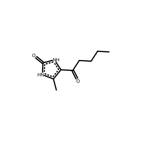 CCCCC(=O)c1[nH]c(=O)[nH]c1C